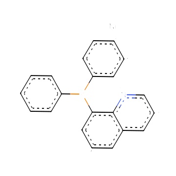 [Ni].c1ccc(P(c2ccccc2)c2cccc3cccnc23)cc1